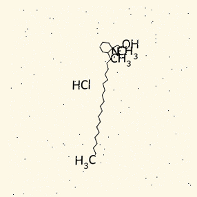 CCCCCCCCCCCCCCCCCCCCC1CCCCC1(CCO)N(C)C.Cl